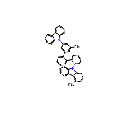 N#Cc1cc(-c2ccccc2-c2ccccc2-n2c3ccccc3c3c(C#N)cccc32)cc(-n2c3ccccc3c3ccccc32)c1